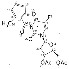 CC(=O)OC[C@@H]1O[C@H](n2cc(F)c(=O)n(C(=O)c3ccccc3C)c2=O)CC1OC(C)=O